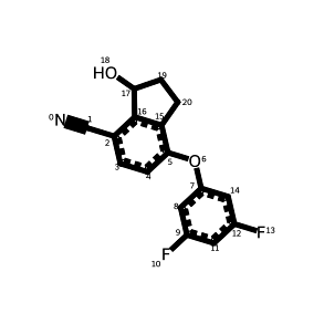 N#Cc1ccc(Oc2cc(F)cc(F)c2)c2c1C(O)CC2